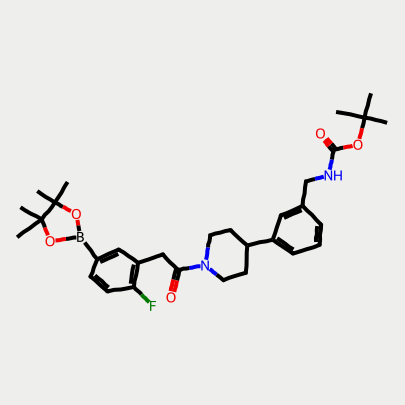 CC(C)(C)OC(=O)NCc1cccc(C2CCN(C(=O)Cc3cc(B4OC(C)(C)C(C)(C)O4)ccc3F)CC2)c1